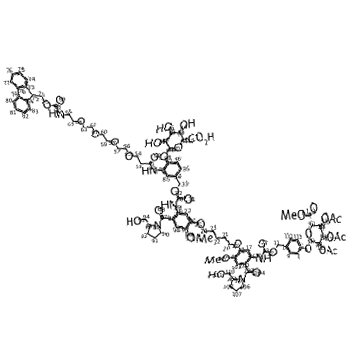 COC(=O)[C@H]1O[C@@H](Oc2ccc(COC(=O)Nc3cc(OCCCCCOc4cc(NC(=O)OCc5ccc(O[C@@H]6O[C@H](C(=O)O)[C@@H](O)[C@H](O)[C@H]6O)c(NC(=O)CCOCCOCCOCCOCCNC(=O)OCC6c7ccccc7-c7ccccc76)c5)c(C(=O)N5CCC[C@H]5CO)cc4OC)c(OC)cc3C(=O)N3CCC[C@H]3CO)cc2)[C@H](OC(C)=O)[C@@H](OC(C)=O)[C@@H]1OC(C)=O